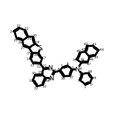 c1ccc(N(c2ccc(-c3nc(-c4ccc5c(c4)sc4cc6ccccc6cc45)c4ccccc4n3)cc2)c2ccc3ccccc3c2)cc1